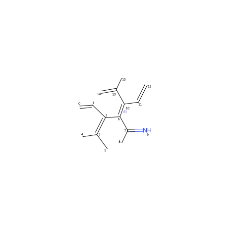 C=CC(=C(C)C)/C(C(C)=N)=C(/C=C)C(=C)C